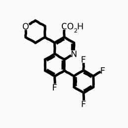 O=C(O)c1cnc2c(-c3cc(F)cc(F)c3F)c(F)ccc2c1C1CCOCC1